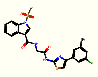 CC(C)c1cc(F)cc(-c2csc(NC(=O)CNC(=O)c3cn(S(=O)(=O)C(C)C)c4ccccc34)n2)c1